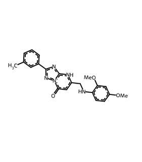 COc1ccc(NCc2cc(=O)n3nc(-c4cccc(C)c4)nc3[nH]2)c(OC)c1